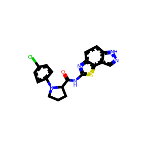 O=C(Nc1nc2ccc3[nH]ncc3c2s1)C1CCCN1c1ccc(Cl)cc1